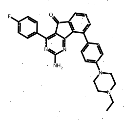 CCN1CCN(c2ccc(-c3cccc4c3-c3nc(N)nc(-c5ccc(F)cc5)c3C4=O)cc2)CC1